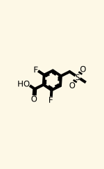 CS(=O)(=O)Cc1cc(F)c(C(=O)O)c(F)c1